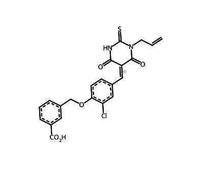 C=CCN1C(=O)/C(=C/c2ccc(OCc3cccc(C(=O)O)c3)c(Cl)c2)C(=O)NC1=S